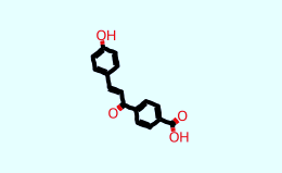 O=C(O)c1ccc(C(=O)C=Cc2ccc(O)cc2)cc1